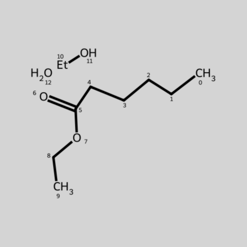 CCCCCC(=O)OCC.CCO.O